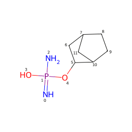 N=P(N)(O)OC1CC2CCC1C2